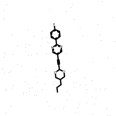 CCCC1COC(C#Cc2cnc(-c3ccc(F)cc3)nc2)OC1